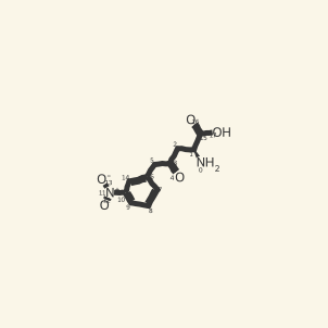 N[C@@H](CC(=O)Cc1cccc([N+](=O)[O-])c1)C(=O)O